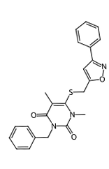 Cc1c(SCc2cc(-c3ccccc3)no2)n(C)c(=O)n(Cc2ccccc2)c1=O